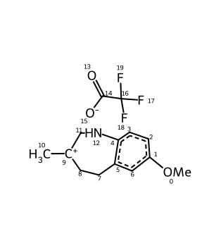 COc1ccc2c(c1)CC[C+](C)CN2.O=C([O-])C(F)(F)F